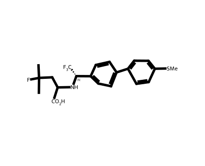 CSc1ccc(-c2ccc([C@H](NC(CC(C)(C)F)C(=O)O)C(F)(F)F)cc2)cc1